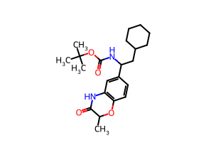 CC1Oc2ccc(C(CC3CCCCC3)NC(=O)OC(C)(C)C)cc2NC1=O